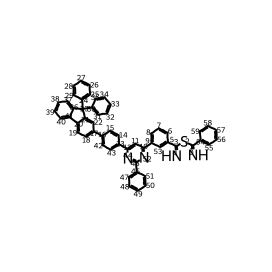 N=C(SC(=N)c1cccc(-c2cc(-c3ccc(-c4ccc5c(c4)C(c4ccccc4)(c4ccccc4)c4ccccc4-5)cc3)nc(-c3ccccc3)n2)c1)c1ccccc1